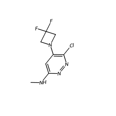 CNc1cc(N2CC(F)(F)C2)c(Cl)nn1